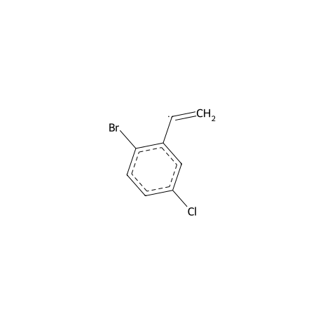 C=[C]c1cc(Cl)ccc1Br